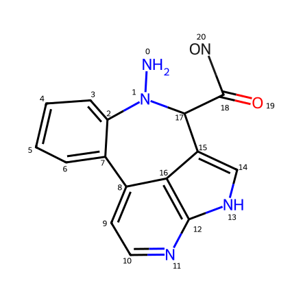 NN1c2ccccc2-c2ccnc3[nH]cc(c23)C1C(=O)N=O